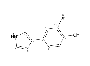 Clc1ccc(-c2cc[nH]c2)cc1Br